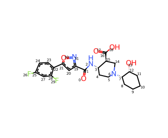 O=C(N[C@H]1CCN([C@H]2CCCC[C@H]2O)C[C@@H]1C(=O)O)c1cc(-c2ccc(F)cc2F)on1